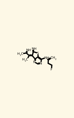 C=C(CCF)Nc1ncnc2c1SC(=N)/C2=C(/C)C(C)=N